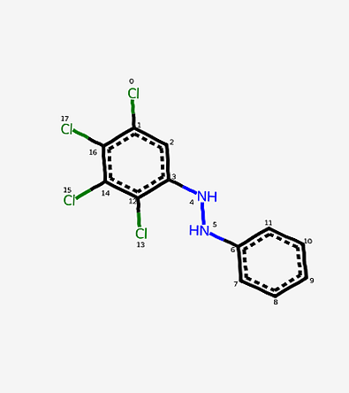 Clc1cc(NNc2ccccc2)c(Cl)c(Cl)c1Cl